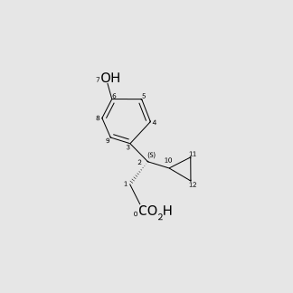 O=C(O)C[C@H](c1ccc(O)cc1)C1CC1